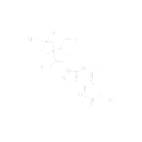 CC(=O)OC1C(n2ncc3c(NC(=O)OC(C)(C)C)nc(Cl)nc32)OC(CO)C12COC(C)(C)O2